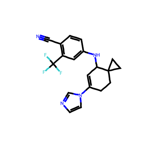 N#Cc1ccc(NC2C=C(n3ccnc3)CCC23CC3)cc1C(F)(F)F